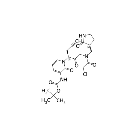 C#CC[C@@H](C(=O)CN(C[C@@H]1CCNC1=O)C(=O)CCl)n1cccc(NC(=O)OC(C)(C)C)c1=O